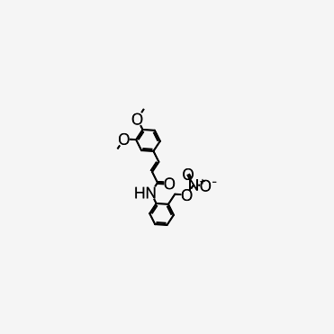 COc1ccc(C=CC(=O)Nc2ccccc2CO[N+](=O)[O-])cc1OC